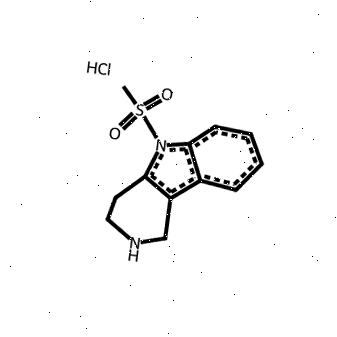 CS(=O)(=O)n1c2c(c3ccccc31)CNCC2.Cl